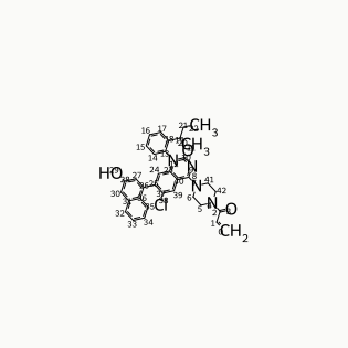 C=CC(=O)N1CCN(c2nc(=O)n(-c3ccccc3[C@H](C)CC)c3cc(-c4cc(O)cc5ccccc45)c(Cl)cc23)CC1